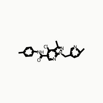 Cc1ccc(NC(=O)c2cnc3c(c(C)nn3Cc3ccc(C)nc3)c2Cl)cc1